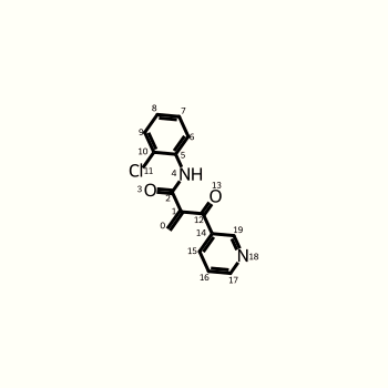 C=C(C(=O)Nc1ccccc1Cl)C(=O)c1cccnc1